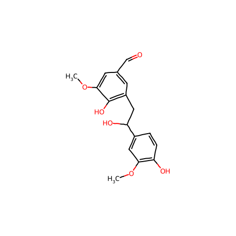 COc1cc(C(O)Cc2cc(C=O)cc(OC)c2O)ccc1O